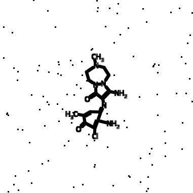 CC1=CC(=Nc2c(N)n3n(c2=O)CCN(C)CC3)C(N)=C(Cl)C1=O